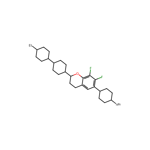 CCCC1CCC(c2cc3c(c(F)c2F)OC(C2CCC(C4CCC(CC)CC4)CC2)CC3)CC1